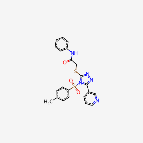 Cc1ccc(S(=O)(=O)n2c(SCC(=O)Nc3ccccc3)nnc2-c2cccnc2)cc1